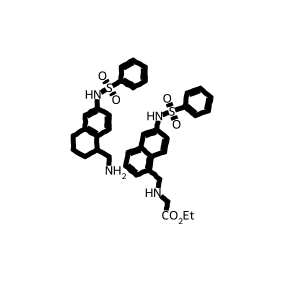 CCOC(=O)CNCc1cccc2cc(NS(=O)(=O)c3ccccc3)ccc12.NCC1CCCc2cc(NS(=O)(=O)c3ccccc3)ccc21